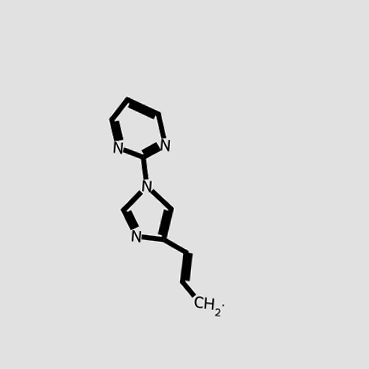 [CH2]C=Cc1cn(-c2ncccn2)cn1